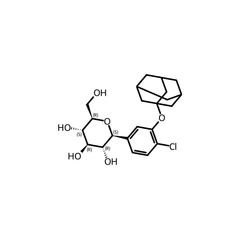 OC[C@H]1O[C@@H](c2ccc(Cl)c(OC34CC5CC(CC(C5)C3)C4)c2)[C@H](O)[C@@H](O)[C@@H]1O